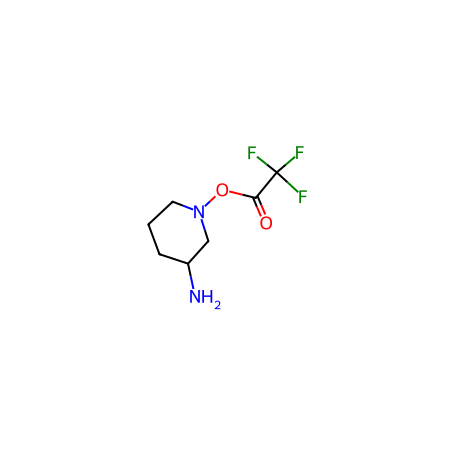 NC1CCCN(OC(=O)C(F)(F)F)C1